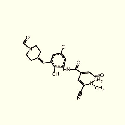 Cc1c(C=C2CCN(C=O)CC2)cc(Cl)cc1NC(=O)C(/C=C(/C#N)N(C)C)=C/C=O